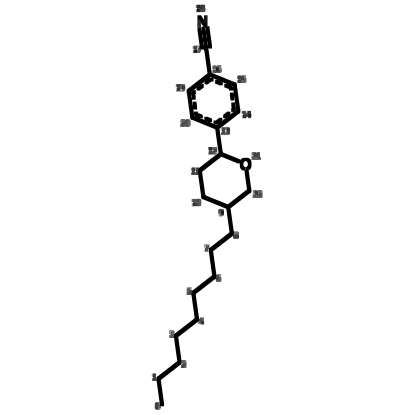 CCCCCCCCCC1CCC(c2ccc(C#N)cc2)OC1